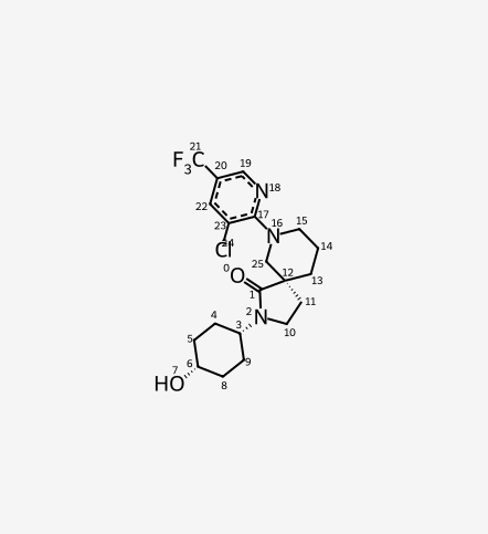 O=C1N([C@H]2CC[C@@H](O)CC2)CC[C@]12CCCN(c1ncc(C(F)(F)F)cc1Cl)C2